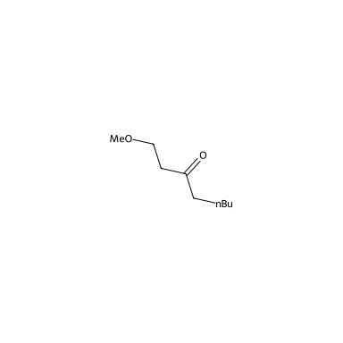 CCCCCC(=O)CCOC